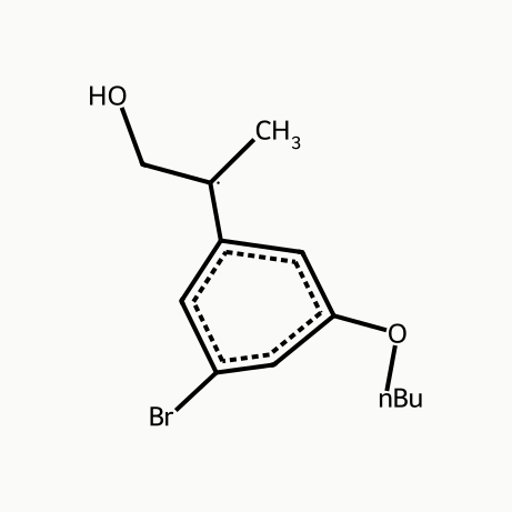 CCCCOc1cc(Br)cc([C](C)CO)c1